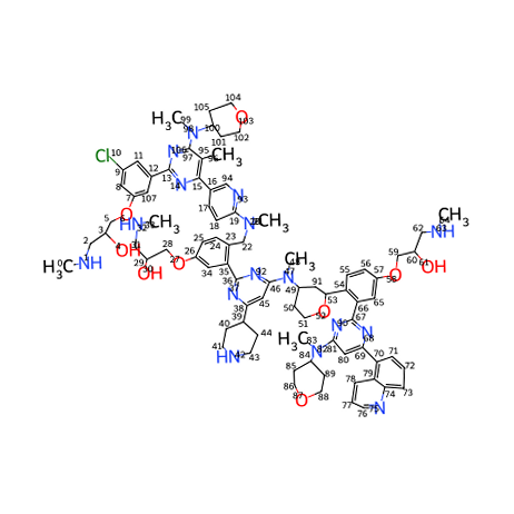 CNCC(O)COc1cc(Cl)cc(-c2nc(-c3ccc(N(C)Cc4ccc(OCC(O)CNC)cc4-c4nc(C5CCNCC5)cc(N(C)C5CCOC(c6ccc(OCC(O)CNC)cc6-c6nc(-c7cccc8ncccc78)cc(N(C)C7CCOCC7)n6)C5)n4)nc3)c(C)c(N(C)C3CCOCC3)n2)c1